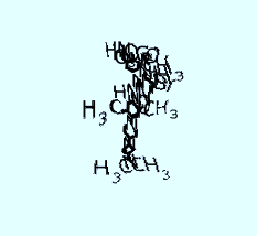 CCc1cc(Nc2ncc(Br)c(Nc3ccc4c(c3P(C)(C)=O)ONO4)n2)c(OC)cc1N1CCC(N2CC(N(C)C)C2)CC1